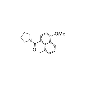 COc1ccc(C(=O)N2CCCC2)c2c(C)cccc12